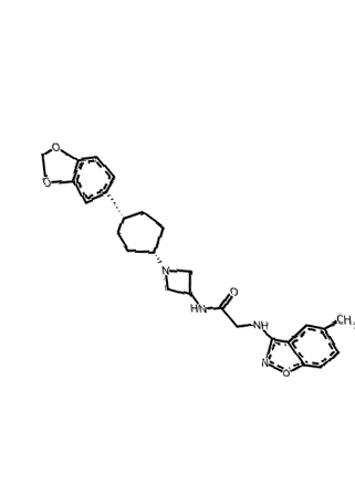 Cc1ccc2onc(NCC(=O)NC3CN([C@H]4CC[C@@H](c5ccc6c(c5)OCO6)CC4)C3)c2c1